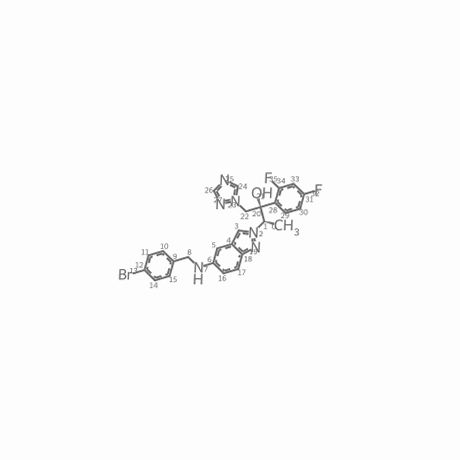 C[C@@H](n1cc2cc(NCc3ccc(Br)cc3)ccc2n1)[C@](O)(Cn1cncn1)c1ccc(F)cc1F